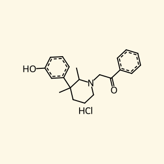 CC1N(CC(=O)c2ccccc2)CCCC1(C)c1cccc(O)c1.Cl